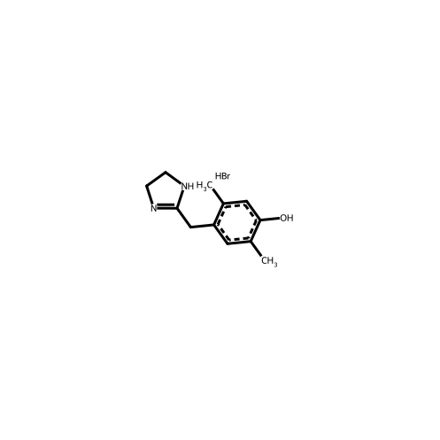 Br.Cc1cc(CC2=NCCN2)c(C)cc1O